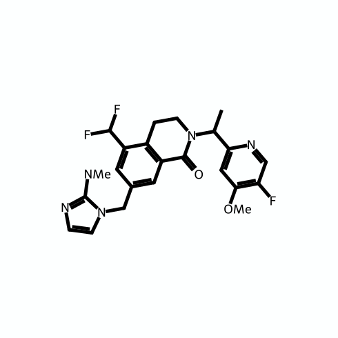 CNc1nccn1Cc1cc2c(c(C(F)F)c1)CCN(C(C)c1cc(OC)c(F)cn1)C2=O